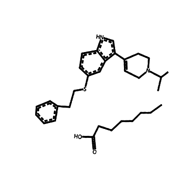 CC(C)N1CC=C(c2c[nH]c3ccc(SCCc4ccccc4)cc23)CC1.CCCCCCCC(=O)O